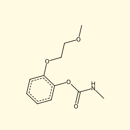 CNC(=O)Oc1ccccc1OCCOC